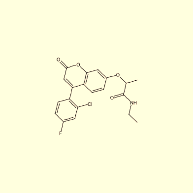 CCNC(=O)C(C)Oc1ccc2c(-c3ccc(F)cc3Cl)cc(=O)oc2c1